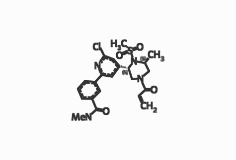 C=CC(=O)N1C[C@H](c2cc(Cl)nc(-c3cccc(C(=O)NC)c3)c2)N(S(C)(=O)=O)[C@@H](C)C1